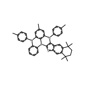 Cc1ccc(N2c3ccccc3B3c4sc5cc6c(cc5c4N(c4ccc(C)cc4)c4cc(C)cc2c43)C(C)(C)CCC6(C)C)cc1